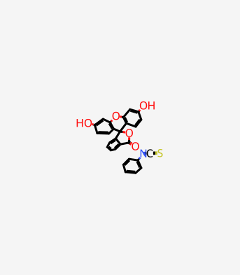 O=C1OC2(c3ccc(O)cc3Oc3cc(O)ccc32)c2ccccc21.S=C=Nc1ccccc1